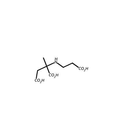 CC(CC(=O)O)(NCCC(=O)O)C(=O)O